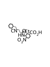 CCc1c(C(=O)O)ccc([N+](=O)[O-])c1NC(=O)CCCCc1ccccc1C#N